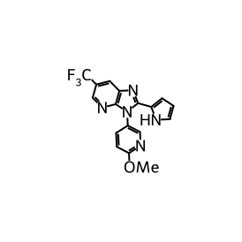 COc1ccc(-n2c(-c3ccc[nH]3)nc3cc(C(F)(F)F)cnc32)cn1